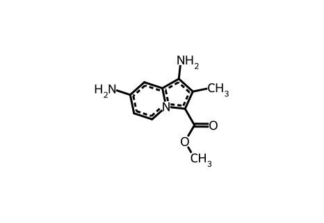 COC(=O)c1c(C)c(N)c2cc(N)ccn12